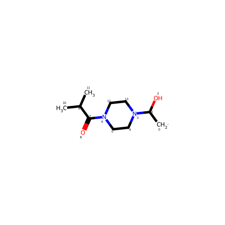 [CH2]C(O)N1CCN(C(=O)C(C)C)CC1